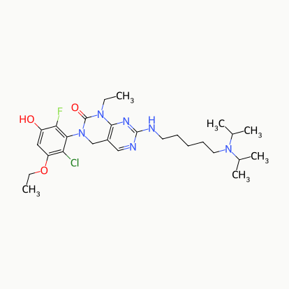 CCOc1cc(O)c(F)c(N2Cc3cnc(NCCCCCN(C(C)C)C(C)C)nc3N(CC)C2=O)c1Cl